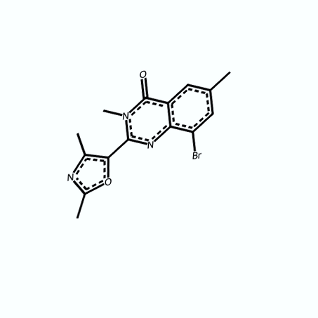 Cc1cc(Br)c2nc(-c3oc(C)nc3C)n(C)c(=O)c2c1